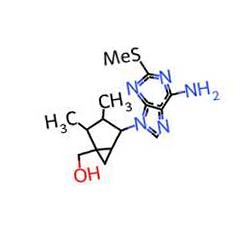 CSc1nc(N)c2ncn(C3C(C)C(C)C4(CO)CC34)c2n1